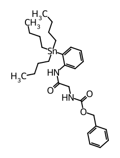 CCC[CH2][Sn]([CH2]CCC)([CH2]CCC)[c]1ccccc1NC(=O)CNC(=O)OCc1ccccc1